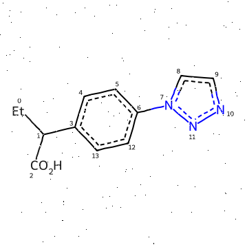 CCC(C(=O)O)c1ccc(-n2ccnn2)cc1